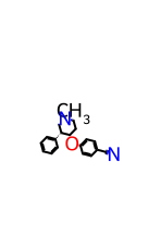 CN1CC[C@@H](Oc2ccc(C#N)cc2)[C@H](c2ccccc2)C1